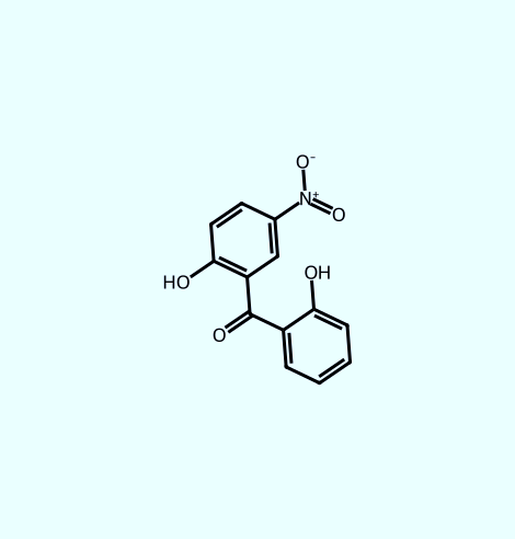 O=C(c1ccccc1O)c1cc([N+](=O)[O-])ccc1O